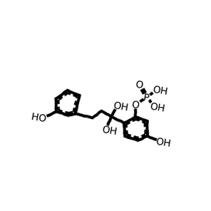 O=P(O)(O)Oc1cc(O)ccc1C(O)(O)CCc1cccc(O)c1